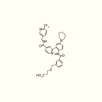 O=C(O)CCSCc1cccc(C(=O)Nc2ccc(N3CCCCC3)cc2-c2cc(C(=O)NCc3ccc(C(F)(F)F)nc3)ccn2)c1